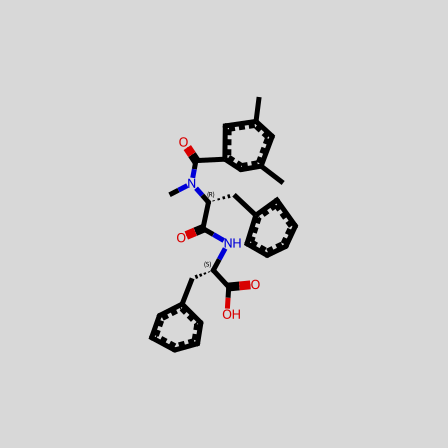 Cc1cc(C)cc(C(=O)N(C)[C@H](Cc2ccccc2)C(=O)N[C@@H](Cc2ccccc2)C(=O)O)c1